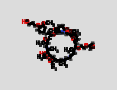 CO[C@@H]1C[C@H](C[C@@H](C)[C@@H]2CC(=O)[C@H](C)/C=C(\C)[C@@H](O)[C@@H](OC)C(=O)[C@H](C)C[C@H](C)/C=C/C=C/C=C(\C)[C@H](OCCOC3COC3)C[C@@H]3CC[C@@H](C)[C@@](O)(O3)C(=O)C(=O)N3CCCC[C@H]3C(=O)O2)CC[C@H]1OCCCO